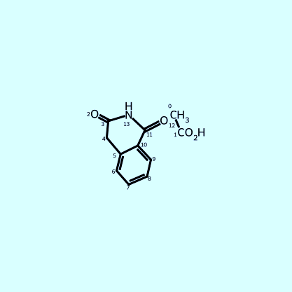 CC(=O)O.O=C1Cc2ccccc2C(=O)N1